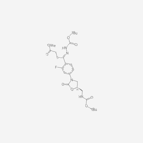 COC(=O)CSC(=NNC(=O)OC(C)(C)C)c1ccc(N2C[C@@H](CNC(=O)OC(C)(C)C)OC2=O)cc1F